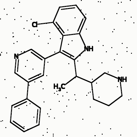 CC(c1[nH]c2cccc(Cl)c2c1-c1cncc(-c2ccccc2)c1)C1CCCNC1